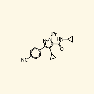 CC(C)n1nc(-c2ccc(C#N)cc2)c(C2CC2)c1C(=O)NC1CC1